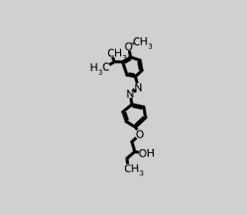 CCC(O)COc1ccc(N=Nc2ccc(OC)c(C(C)C)c2)cc1